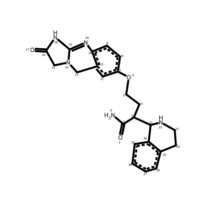 NC(=O)C(CCOc1ccc2c(c1)CN1CC(=O)NC1=N2)C1NCCc2ccccc21